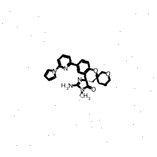 CN1C(=O)[C@@]2(C[C@@]3(CCCOC3)Oc3ccc(-c4cccc(-n5cccc5)n4)cc32)N=C1N